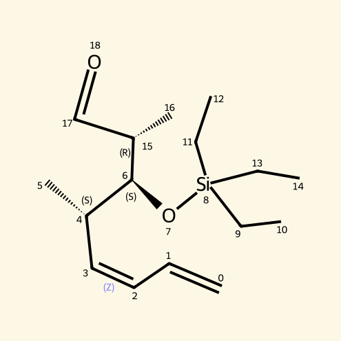 C=C/C=C\[C@H](C)[C@H](O[Si](CC)(CC)CC)[C@@H](C)C=O